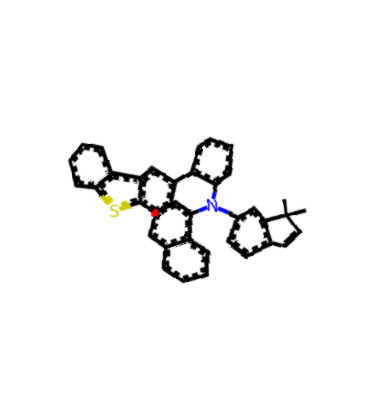 CC1(C)C=Cc2ccc(N(c3ccccc3-c3ccc4sc5ccccc5c4c3)c3cccc4ccccc34)cc21